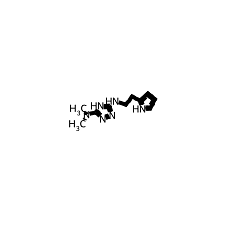 CN(C)c1nnc(NCCc2ccc[nH]2)[nH]1